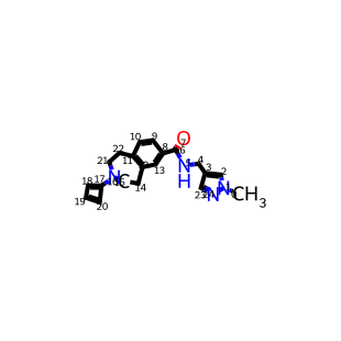 Cn1cc(CNC(=O)c2ccc3c(c2)CCN(C2=CC=C2)CC3)cn1